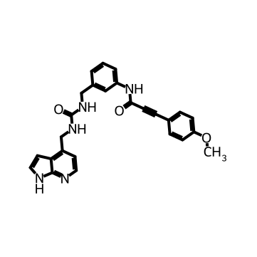 COc1ccc(C#CC(=O)Nc2cccc(CNC(=O)NCc3ccnc4[nH]ccc34)c2)cc1